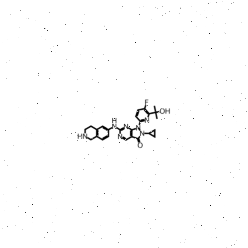 CC(C)(O)c1nc(-n2c3nc(Nc4ccc5c(c4)CCNC5)ncc3c(=O)n2C2CC2)ccc1F